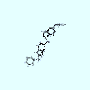 CC(=O)NCc1cnc2c(c1)ncn2Cc1ccc2nc(NC3CCCCC3)sc2c1